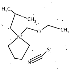 CCOC[N+]1(CC(C)C)CCCC1.N#C[S-]